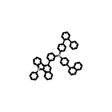 c1ccc(-c2ccccc2-c2ccc(N(c3ccc(-c4cccc5ccccc45)cc3)c3cccc(-c4cc5ccccc5c5c4c4ccccc4n5-c4ccccc4)c3)cc2)cc1